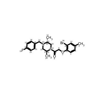 Cc1ccc(OCC(=O)N2C[C@@H](C)N(Cc3ccc(F)cc3)C[C@@H]2C)c(Br)c1